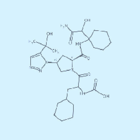 CC(C)(O)c1cnnn1[C@H]1C[C@@H](C(=O)NC2(C(O)C(N)=O)CCCCC2)N(C(=O)C(CC2CCCCC2)NC(=O)O)C1